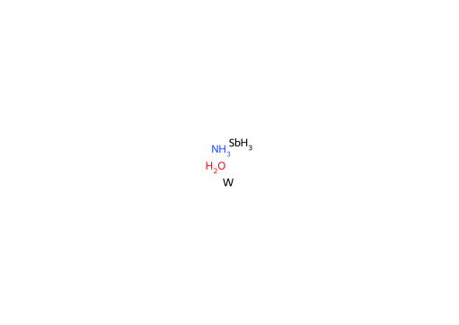 N.O.[SbH3].[W]